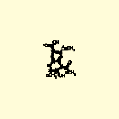 COc1cc2c(cc1C(=O)O)CC(C)[C@H](O)N2C(C)=O